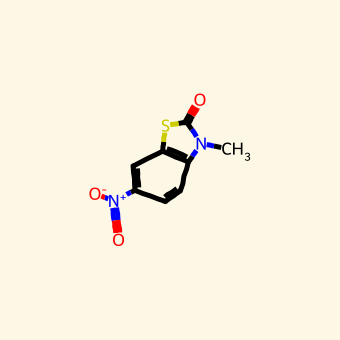 Cn1c(=O)sc2cc([N+](=O)[O-])ccc21